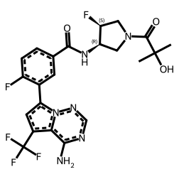 CC(C)(O)C(=O)N1C[C@H](F)[C@H](NC(=O)c2ccc(F)c(-c3cc(C(F)(F)F)c4c(N)ncnn34)c2)C1